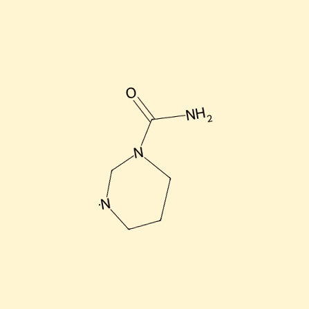 NC(=O)N1CCC[N]C1